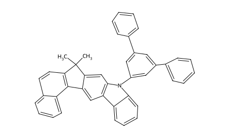 CC1(C)c2cc3c(cc2-c2c1ccc1ccccc21)c1ccccc1n3-c1cc(-c2ccccc2)cc(-c2ccccc2)c1